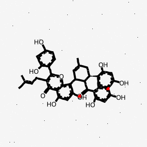 CC(C)=CCc1c(-c2ccc(O)cc2O)oc2c(C3C=C(C)C[C@@H](c4ccc(O)cc4O)C3C(=O)c3ccc(O)cc3O)c(O)cc(O)c2c1=O